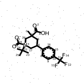 CC1(C(=O)O)CC(c2ccc(C(F)(F)F)cc2)C[N+](C(=O)[O-])(C(C)(C)C)C1